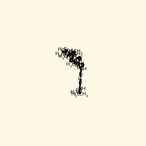 CCC(C)C(C(CC(=O)N1CCCC1C(OC)C(C)C(=O)N[C@@H](Cc1ccccc1)C(=O)N1CCC[C@@H]1C(=O)NCCCOCCOCCOCCCNC(=O)OC(C)(C)C)OC)N(C)C(=O)[C@@H](NC(=O)C(C(C)C)N(C)C)C(C)C